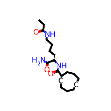 CCC(=O)NCCCC[C@H](NC(=O)C1CCCCCCCC1)C(N)=O